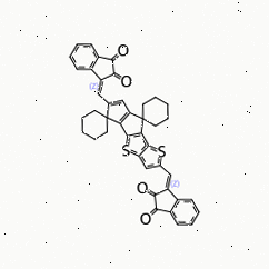 O=C1C(=O)c2ccccc2/C1=C/C1=CC2=C(c3sc4cc(/C=C5\C(=O)C(=O)c6ccccc65)sc4c3C23CCCCC3)C12CCCCC2